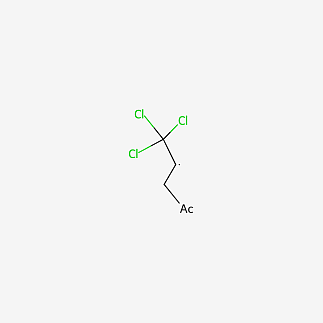 CC(=O)C[CH]C(Cl)(Cl)Cl